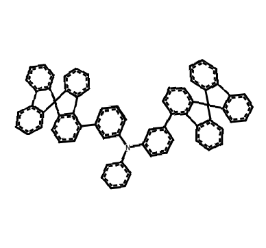 c1ccc(N(c2cccc(-c3cccc4c3-c3ccccc3C43c4ccccc4-c4ccccc43)c2)c2cccc(-c3cccc4c3-c3ccccc3C43c4ccccc4-c4ccccc43)c2)cc1